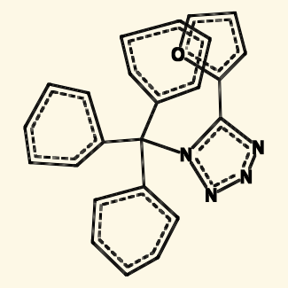 c1ccc(C(c2ccccc2)(c2ccccc2)n2nnnc2-c2ccco2)cc1